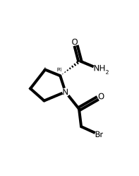 NC(=O)[C@H]1[CH]CCN1C(=O)CBr